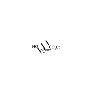 CC(C)O.CCCCCC.CCOC(C)=O